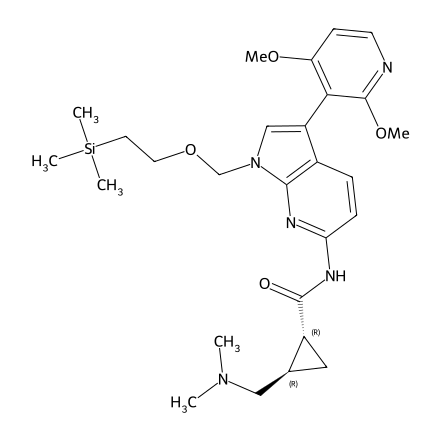 COc1ccnc(OC)c1-c1cn(COCC[Si](C)(C)C)c2nc(NC(=O)[C@@H]3C[C@H]3CN(C)C)ccc12